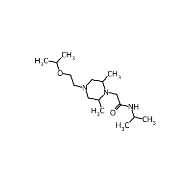 CC(C)NC(=O)CN1C(C)CN(CCOC(C)C)CC1C